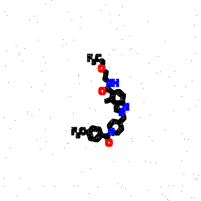 Cc1c(C(=O)NCCOCC(F)(F)F)ccc2nn(CC3CCN(C(=O)c4ccc(C(F)(F)F)cc4)CC3)cc12